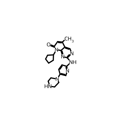 Cc1cc(=O)n(C2CCCC2)c2nc(Nc3ccc(N4CCNCC4)cn3)ncc12